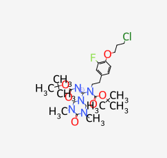 CN1CN(/C(=N\C(=O)OC(C)(C)C)N(CCc2ccc(OCCCCl)c(F)c2)C(=O)OC(C)(C)C)CN(C)C1=O